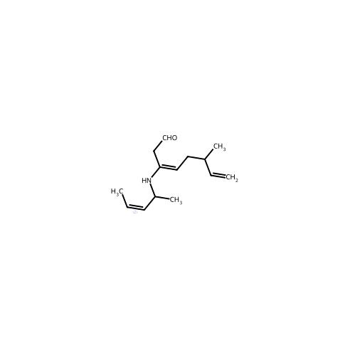 C=CC(C)CC=C(CC=O)NC(C)/C=C\C